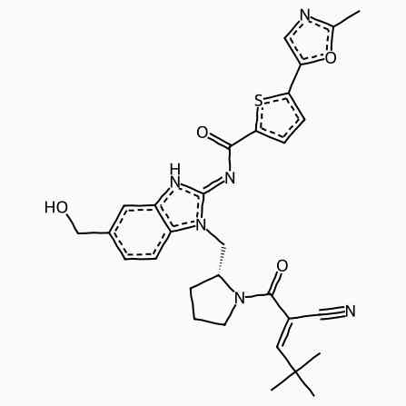 Cc1ncc(-c2ccc(C(=O)/N=c3\[nH]c4cc(CO)ccc4n3C[C@H]3CCCN3C(=O)/C(C#N)=C/C(C)(C)C)s2)o1